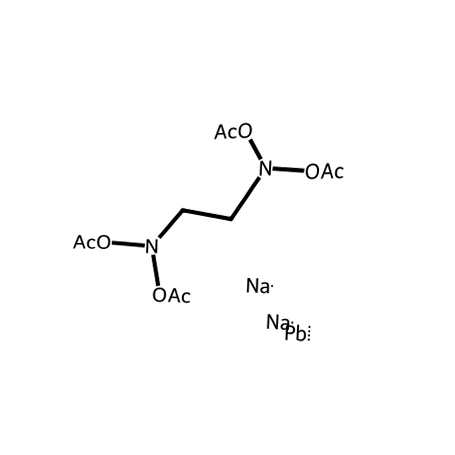 CC(=O)ON(CCN(OC(C)=O)OC(C)=O)OC(C)=O.[Na].[Na].[Pb]